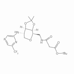 CC(C)(C)OC(=O)CC(=O)NC[C@H]1OC[C@H](Nc2cncc(C(F)(F)F)n2)[C@H]2OC(C)(C)O[C@H]21